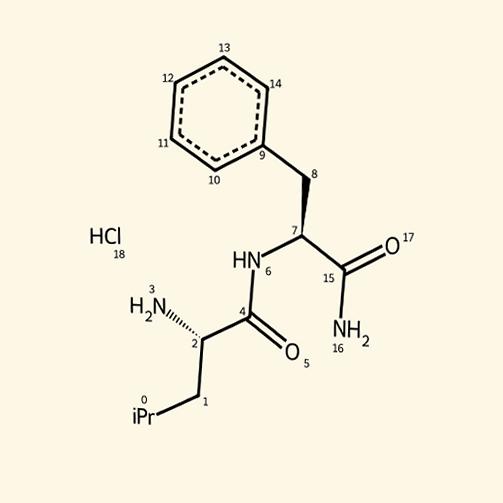 CC(C)C[C@H](N)C(=O)N[C@@H](Cc1ccccc1)C(N)=O.Cl